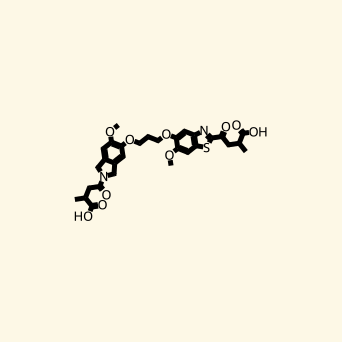 COc1cc2c(cc1OCCCOc1cc3nc(C(=O)CC(C)C(=O)O)sc3cc1OC)CN(C(=O)CC(C)C(=O)O)C2